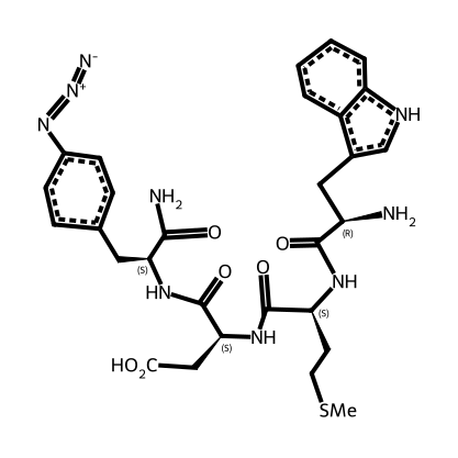 CSCC[C@H](NC(=O)[C@H](N)Cc1c[nH]c2ccccc12)C(=O)N[C@@H](CC(=O)O)C(=O)N[C@@H](Cc1ccc(N=[N+]=[N-])cc1)C(N)=O